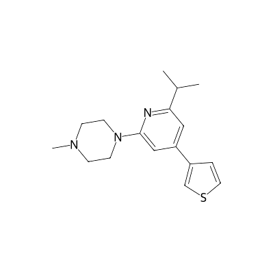 CC(C)c1cc(-c2ccsc2)cc(N2CCN(C)CC2)n1